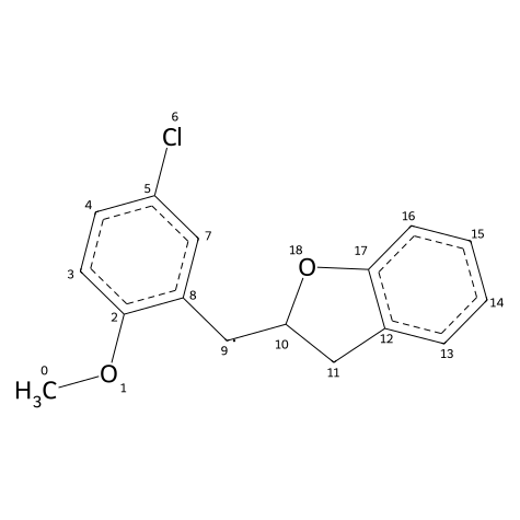 COc1ccc(Cl)cc1[CH]C1Cc2ccccc2O1